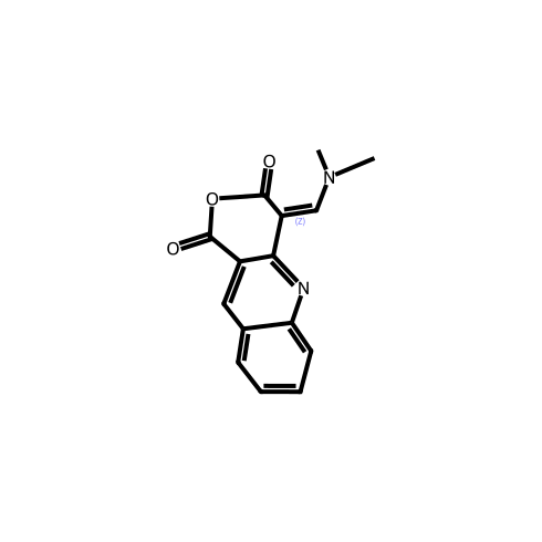 CN(C)/C=C1\C(=O)OC(=O)c2cc3ccccc3nc21